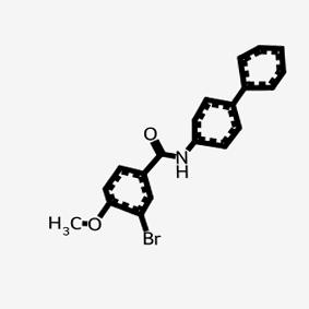 COc1ccc(C(=O)Nc2ccc(-c3ccccc3)cc2)cc1Br